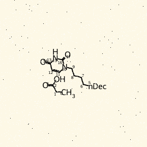 CCC(=O)O.CCCCCCCCCCCCCCn1ccc(=O)[nH]c1=O